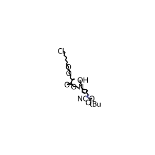 C=C(CCOCCOCCCCCCCl)C1C(=O)C1OCCN(CCO)c1ccc(/C=C(\C#N)C(=O)OC(C)(C)C)cc1